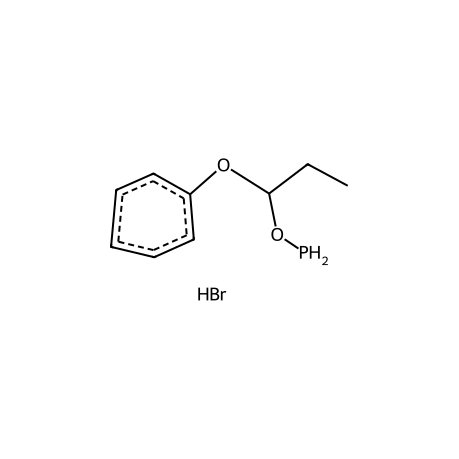 Br.CCC(OP)Oc1ccccc1